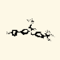 COC(=O)C(=O)N(Cc1ccc(C(C)(C)C)cc1)c1ccc(-c2ccc(O)cc2)cc1